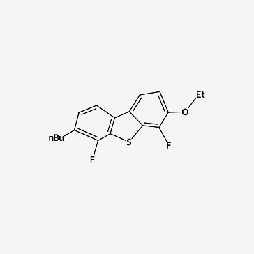 CCCCc1ccc2c(sc3c(F)c(OCC)ccc32)c1F